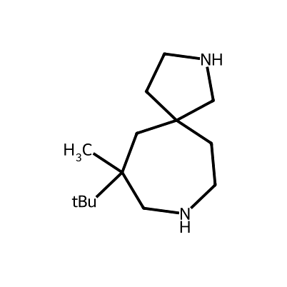 CC(C)(C)C1(C)CNCCC2(CCNC2)C1